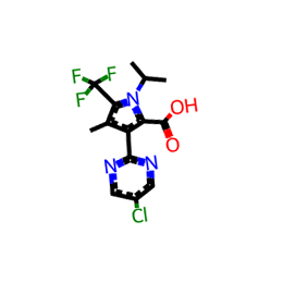 Cc1c(-c2ncc(Cl)cn2)c(C(=O)O)n(C(C)C)c1C(F)(F)F